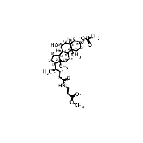 COC(=O)CCNC(=O)CC[C@@H](C)[C@H]1CCC2[C@H]3C(CC[C@@]21C)[C@@]1(C)CC[C@@H](OC(C)=O)C[C@H]1C[C@H]3O